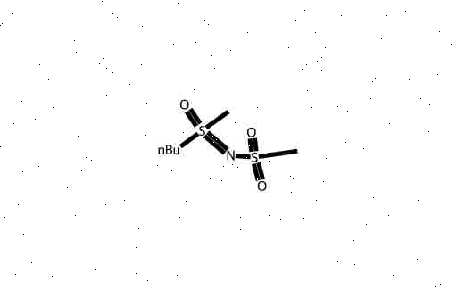 CCCCS(C)(=O)=NS(C)(=O)=O